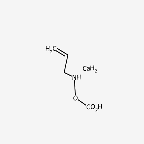 C=CCNOC(=O)O.[CaH2]